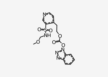 COCNS(=O)(=O)c1cnccc1CCOC(=O)On1nnc2ccccc21